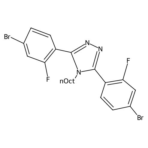 CCCCCCCCn1c(-c2ccc(Br)cc2F)nnc1-c1ccc(Br)cc1F